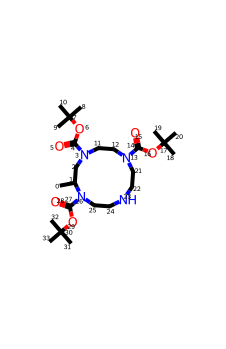 CC1CN(C(=O)OC(C)(C)C)CCN(C(=O)OC(C)(C)C)CCNCCN1C(=O)OC(C)(C)C